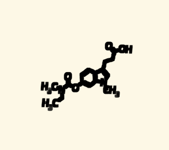 CCN(C)C(=O)Oc1ccc2c(CCC(=O)O)cn(C)c2c1